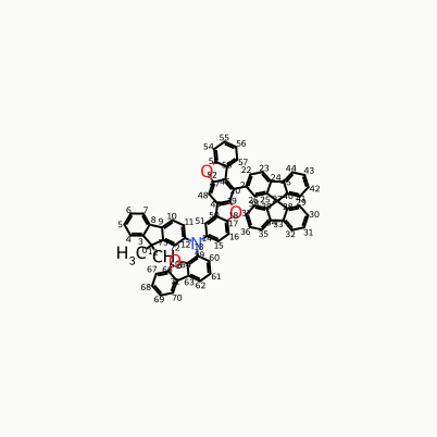 CC1(C)c2ccccc2-c2ccc(N(c3ccc4oc5c(-c6ccc7c(c6)C6(c8ccccc8-c8ccccc86)c6ccccc6-7)c6c(cc5c4c3)oc3ccccc36)c3cccc4c3oc3ccccc34)cc21